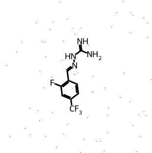 N=C(N)NN=Cc1ccc(C(F)(F)F)cc1F